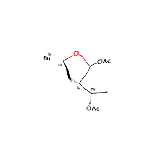 CC[C@H](C)[C@@H]1C[C@@H]([C@H](C)OC(C)=O)C(OC(C)=O)O1